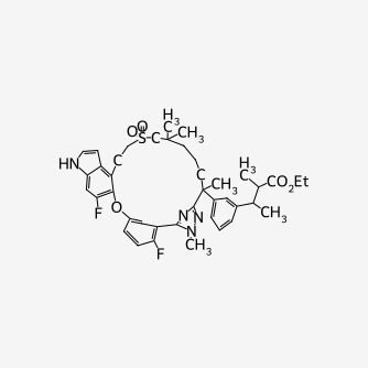 CCOC(=O)C(C)C(C)c1cccc(C2(C)CCCC(C)(C)CS(=O)(=O)CCc3c(c(F)cc4[nH]ccc34)Oc3ccc(F)c(c3)-c3nc2nn3C)c1